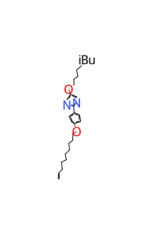 C=CCCCCCCCCOc1ccc(-c2ncc(OCCCCC[C@@H](C)CC)cn2)cc1